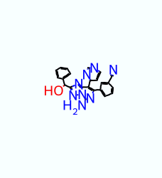 N#Cc1cccc(-c2nc(N)n3nc(C(O)c4ccccc4)nc3c2-c2ccncn2)c1